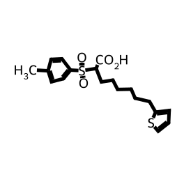 Cc1ccc(S(=O)(=O)C(CCCCCCc2cccs2)C(=O)O)cc1